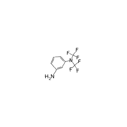 Nc1cccc(N(C(F)(F)F)C(F)(F)F)c1